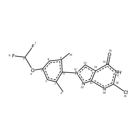 Cc1cc(OC(F)F)cc(C)c1-n1cc2c(=O)[nH]c(Cl)nc2n1